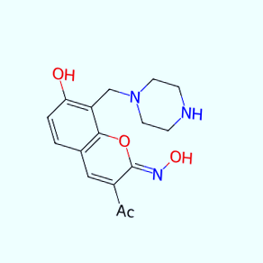 CC(=O)c1cc2ccc(O)c(CN3CCNCC3)c2oc1=NO